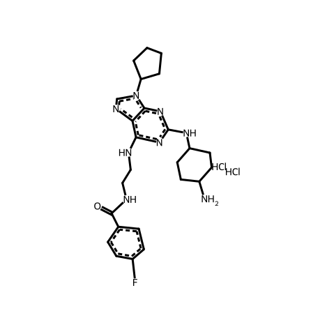 Cl.Cl.NC1CCC(Nc2nc(NCCNC(=O)c3ccc(F)cc3)c3ncn(C4CCCC4)c3n2)CC1